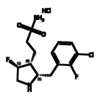 Cl.NS(=O)(=O)CC[C@H]1[C@H](F)CN[C@H]1Cc1cccc(Cl)c1F